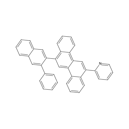 c1ccc(-c2cc3ccccc3cc2-c2cc3c4ccccc4c(-c4ccccn4)cc3c3ccccc23)cc1